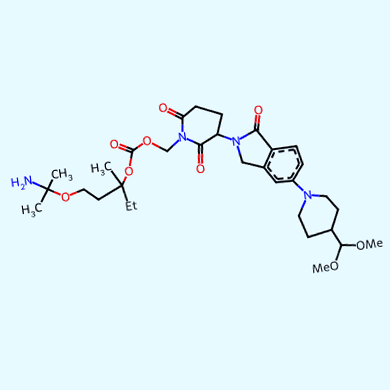 CCC(C)(CCOC(C)(C)N)OC(=O)OCN1C(=O)CCC(N2Cc3cc(N4CCC(C(OC)OC)CC4)ccc3C2=O)C1=O